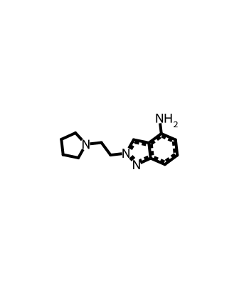 Nc1cccc2nn(CCN3CCCC3)cc12